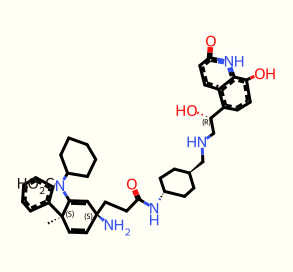 C[C@@]1(c2ccccc2)C=C[C@@](N)(CCC(=O)N[C@H]2CC[C@H](CNC[C@H](O)c3ccc(O)c4[nH]c(=O)ccc34)CC2)C=C1N(C(=O)O)C1CCCCC1